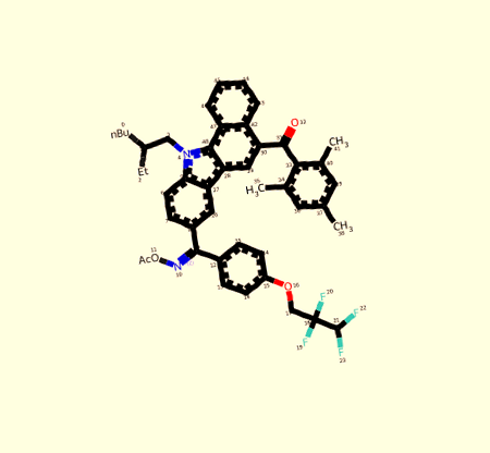 CCCCC(CC)Cn1c2ccc(/C(=N\OC(C)=O)c3ccc(OCC(F)(F)C(F)F)cc3)cc2c2cc(C(=O)c3c(C)cc(C)cc3C)c3ccccc3c21